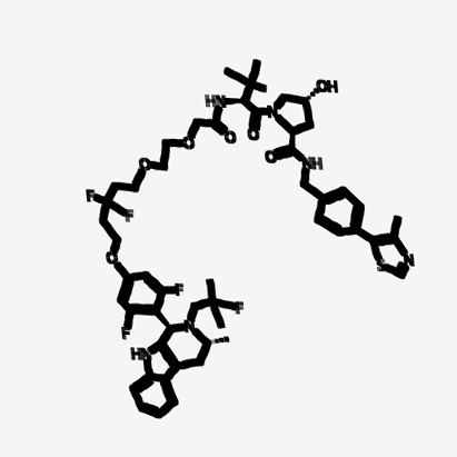 Cc1ncsc1-c1ccc(CNC(=O)[C@@H]2C[C@@H](O)CN2C(=O)[C@@H](NC(=O)COCCOCCC(F)(F)CCOc2cc(F)c([C@@H]3c4[nH]c5ccccc5c4C[C@@H](C)N3CC(C)(C)F)c(F)c2)C(C)(C)C)cc1